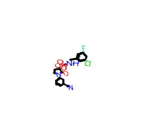 N#Cc1cccc(N2CC[C@](O)(OC(=O)NCc3cc(F)cc(Cl)c3)C2=O)c1